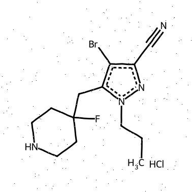 CCCn1nc(C#N)c(Br)c1CC1(F)CCNCC1.Cl